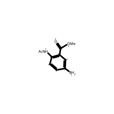 Bc1ccc(NC(C)=O)c(C(=O)OC)c1